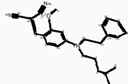 COc1cc(N(CCCC(C)C)CCc2ccccc2)ccc1C=C(C#N)C#N